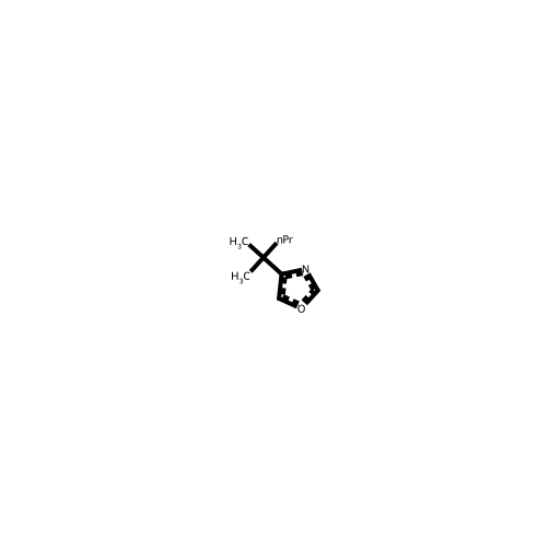 CCCC(C)(C)c1cocn1